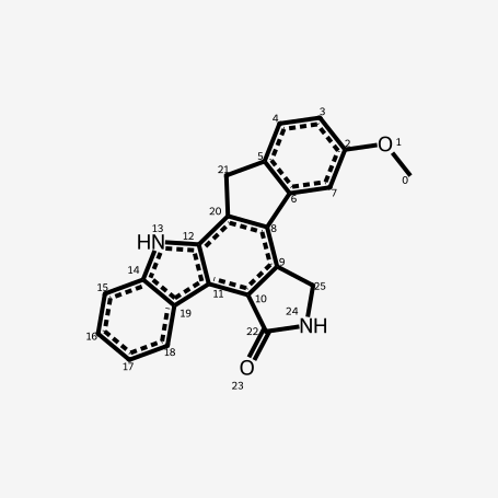 COc1ccc2c(c1)-c1c3c(c4c([nH]c5ccccc54)c1C2)C(=O)NC3